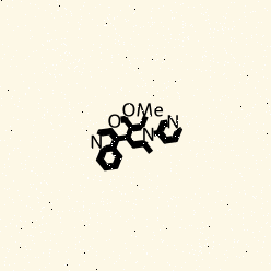 COC(=O)C1=C(C)N(c2cccnc2)C(C)=CC1c1ccnc2ccccc12